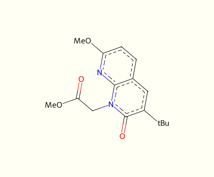 COC(=O)Cn1c(=O)c(C(C)(C)C)cc2ccc(OC)nc21